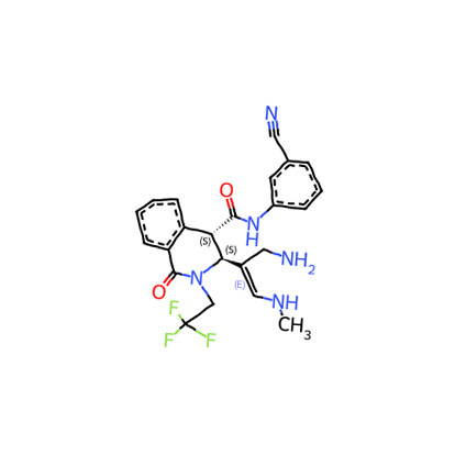 CN/C=C(\CN)[C@@H]1[C@@H](C(=O)Nc2cccc(C#N)c2)c2ccccc2C(=O)N1CC(F)(F)F